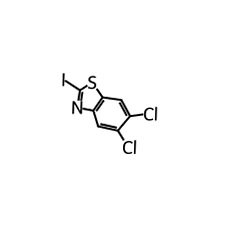 Clc1cc2nc(I)sc2cc1Cl